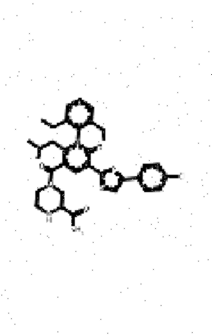 CCc1cccc(CC)c1-n1c(CC(C)C)c(C(=O)N2CCNC(C(N)=O)C2)cc(-c2nc(-c3ccc(Cl)cc3)cs2)c1=O